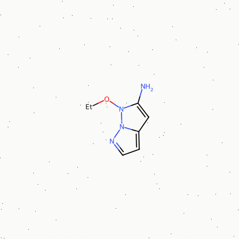 CCOn1c(N)cc2ccnn21